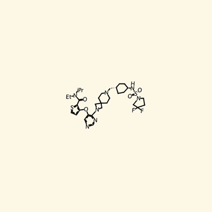 CCN(C(=O)c1sccc1Oc1cncnc1N1CC2(CCN(C[C@H]3CC[C@H](NS(=O)(=O)N4CCC(F)(F)C4)CC3)CC2)C1)C(C)C